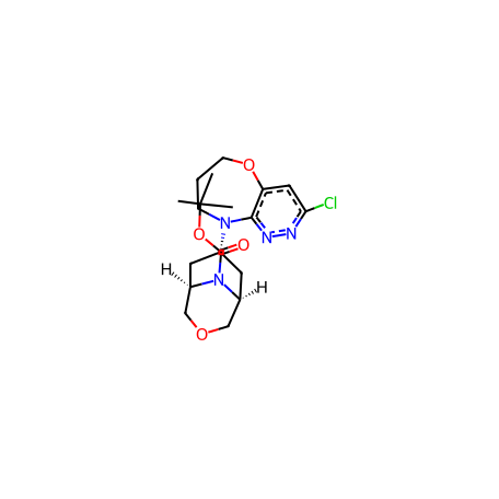 CC(C)(C)OC(=O)N1[C@@H]2COC[C@H]1C[C@H](N1CCCOc3cc(Cl)nnc31)C2